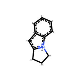 c1ccc2c(c1)cc1n2CCC1